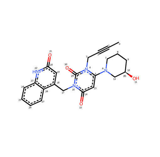 CC#CCn1c(N2CCC[C@@H](O)C2)cc(=O)n(Cc2cc(=O)[nH]c3ccccc23)c1=O